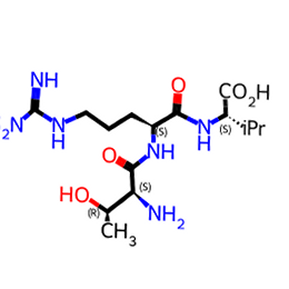 CC(C)[C@H](NC(=O)[C@H](CCCNC(=N)N)NC(=O)[C@@H](N)[C@@H](C)O)C(=O)O